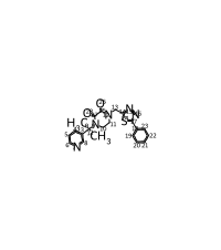 CC(C)(c1cccnc1)N1CCN(Cc2nnc(-c3ccccc3)s2)C(=O)C1=O